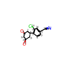 N#Cc1ccc(C2CC(=O)CC(=O)C2)c(Cl)c1